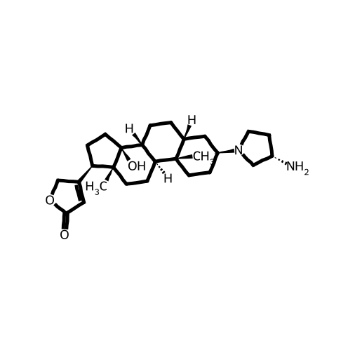 C[C@]12CC[C@H](N3CC[C@H](N)C3)C[C@H]1CC[C@@H]1[C@@H]2CC[C@]2(C)[C@@H](C3=CC(=O)OC3)CC[C@]12O